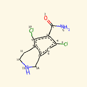 NC(=O)c1c(Cl)cc2c(c1Cl)CCNC2